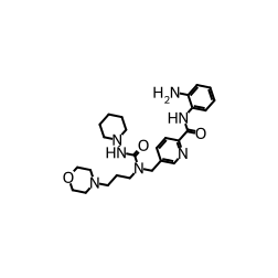 Nc1ccccc1NC(=O)c1ccc(CN(CCCN2CCOCC2)C(=O)NN2CCCCC2)cn1